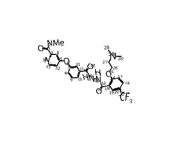 CNC(=O)c1cc(Oc2cccc(C(=O)NNC(=O)c3cc(C(F)(F)F)ccc3OCCN(C)C)c2)ccn1